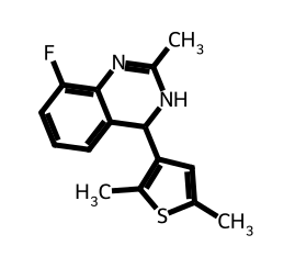 CC1=Nc2c(F)cccc2C(c2cc(C)sc2C)N1